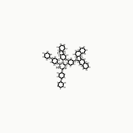 c1ccc(-c2ccc(C3=NC(c4ccc(-n5c6cc7ccccc7cc6c6c7ccccc7ccc65)cc4-c4ccc5oc6ccccc6c5c4)=NC(c4ccc(-c5ccccc5)cc4)N3)cc2)cc1